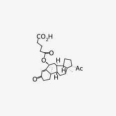 CC(=O)[C@H]1CC[C@H]2[C@@H]3C[C@H](OC(=O)CCCC(=O)O)C4=CC(=O)CC[C@]4(C)[C@H]3CC[C@]12C